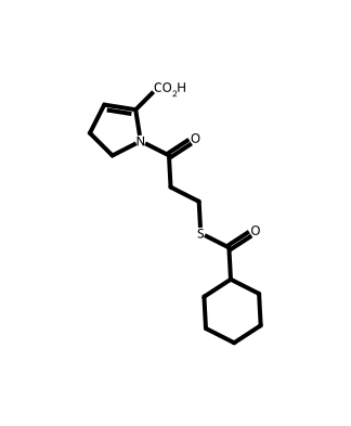 O=C(O)C1=CCCN1C(=O)CCSC(=O)C1CCCCC1